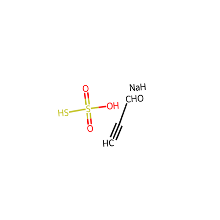 C#CC=O.O=S(=O)(O)S.[NaH]